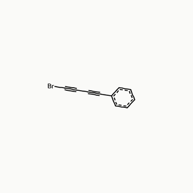 BrC#CC#Cc1ccccc1